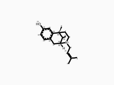 CC(C)=CCN1CC[C@@]2(C)c3cc(O)ccc3C[C@@H]1C2C